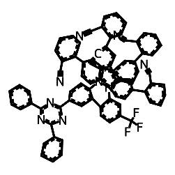 N#Cc1ccccc1-c1ccc2c(c1)c1cc(-c3ccccc3C#N)ccc1n2-c1ccc(-c2nc(-c3ccccc3)nc(-c3ccccc3)n2)cc1-c1ccc(C(F)(F)F)cc1-n1c2ccc(-c3ccccc3C#N)cc2c2cc(-c3ccccc3C#N)ccc21